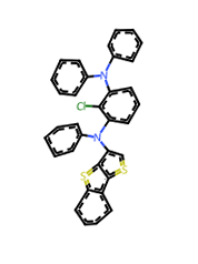 Clc1c(N(c2ccccc2)c2ccccc2)cccc1N(c1ccccc1)c1csc2c1sc1ccccc12